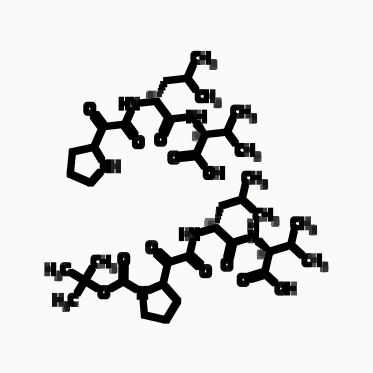 CC(C)C[C@@H](NC(=O)C(=O)C1CCCN1)C(=O)N[C@H](C(=O)O)C(C)C.CC(C)C[C@@H](NC(=O)C(=O)C1CCCN1C(=O)OC(C)(C)C)C(=O)N[C@H](C(=O)O)C(C)C